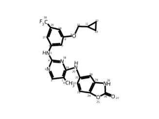 Cc1cnc(Nc2cc(OCC3CC3)cc(C(F)(F)F)c2)nc1Nc1ccc2oc(=O)[nH]c2c1